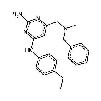 CCc1ccc(Nc2cc(CN(C)Cc3ccccc3)nc(N)n2)cc1